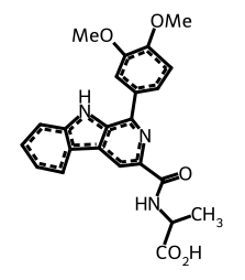 COc1ccc(-c2nc(C(=O)NC(C)C(=O)O)cc3c2[nH]c2ccccc23)cc1OC